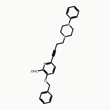 O=Cc1nc(C#CCCN2CCN(c3ccccc3)CC2)ccc1OCc1ccccc1